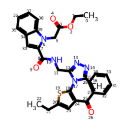 CCOC(=O)Cn1c(C(=O)NCc2nnc(C)n2-c2sc(CC)cc2C(=O)c2ccccc2)cc2ccccc21